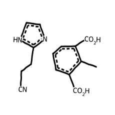 Cc1c(C(=O)O)cccc1C(=O)O.N#CCCc1ncc[nH]1